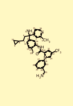 Cc1cc(C(N)(CCC2CC2)c2ccc(F)c(NC(=O)c3cc(C(F)(F)F)cn3-c3cccc(CN)c3)c2)ccn1